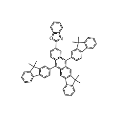 CC1(C)c2ccccc2-c2ccc(-c3c4ccc(-c5nc6ccccc6o5)cc4c(-c4ccc5c(c4)C(C)(C)c4ccccc4-5)c4cc5c(cc34)-c3ccccc3C5(C)C)cc21